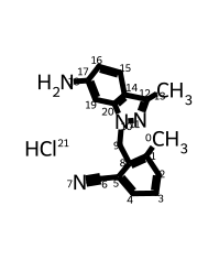 Cc1cccc(C#N)c1Cn1nc(C)c2ccc(N)cc21.Cl